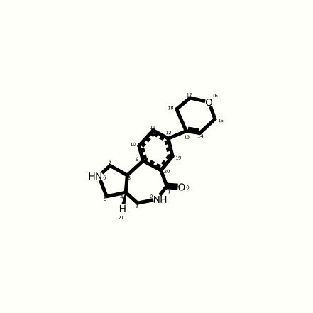 O=C1NC[C@@H]2CNCC2c2ccc(C3=CCOCC3)cc21